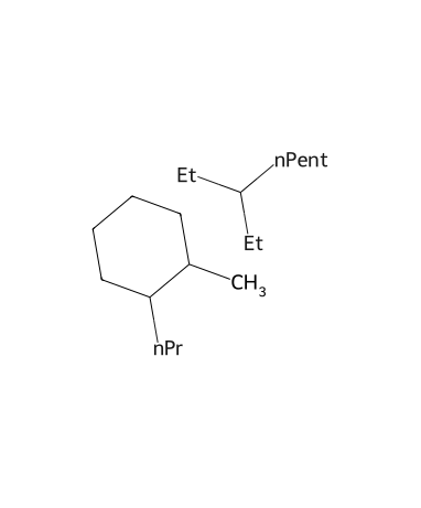 CCCC1CCCCC1C.CCCCCC(CC)CC